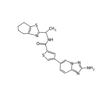 CC(NC(=O)c1cc(-c2ccc3nc(N)nn3c2)cs1)c1nc2c(s1)CCCC2